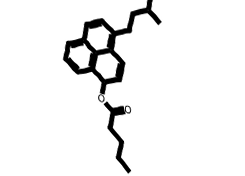 CCCCC(=O)OC1C=Cc2c(CCC(C)C)ccc3cccc1c23